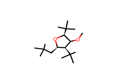 COC1[C@H](C(C)(C)C)O[C@H](CC(C)(C)C)[C@@H]1C(C)(C)C